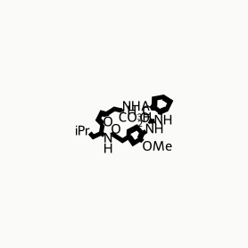 COc1cc(CC(=O)NC(CC(C)C)c2ccc(CC(NC(C)=O)C(=O)O)o2)ccc1NC(=O)Nc1ccccc1C